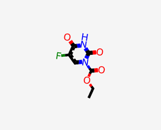 CCOC(=O)n1cc(F)c(=O)[nH]c1=O